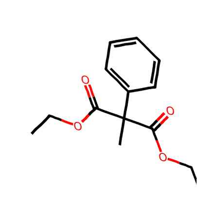 CCOC(=O)C(C)(C(=O)OCC)c1ccccc1